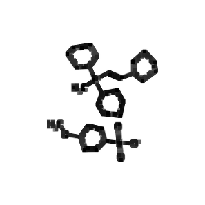 COc1ccc(S(=O)(=O)[O-])cc1.C[P+](C=Cc1ccccc1)(c1ccccc1)c1ccccc1